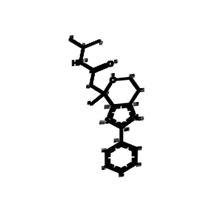 CC(C)NC(=O)CC1(C)OCCc2nc(-c3ccccc3)sc21